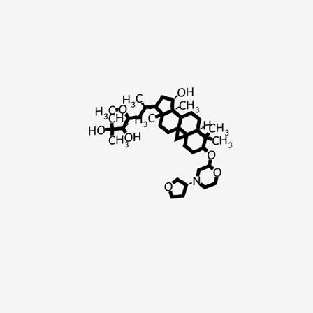 COC(C[C@@H](C)C1C[C@H](O)[C@@]2(C)C3CC[C@H]4C(C)(C)C(OC5CN([C@@H]6CCOC6)CCO5)CCC45CC35CCC12C)C(O)C(C)(C)O